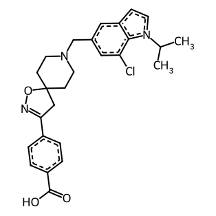 CC(C)n1ccc2cc(CN3CCC4(CC3)CC(c3ccc(C(=O)O)cc3)=NO4)cc(Cl)c21